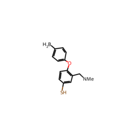 Bc1ccc(Oc2ccc(S)cc2CNC)cc1